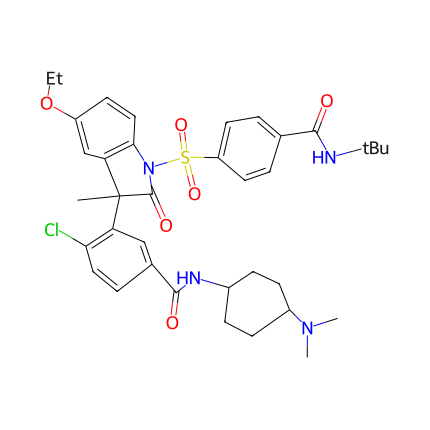 CCOc1ccc2c(c1)C(C)(c1cc(C(=O)NC3CCC(N(C)C)CC3)ccc1Cl)C(=O)N2S(=O)(=O)c1ccc(C(=O)NC(C)(C)C)cc1